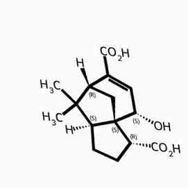 CC1(C)[C@H]2C[C@@]3([C@@H](O)C=C2C(=O)O)[C@H](C(=O)O)CC[C@@H]13